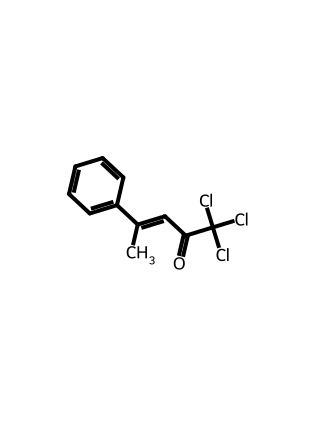 CC(=CC(=O)C(Cl)(Cl)Cl)c1ccccc1